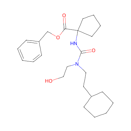 O=C(NC1(C(=O)OCc2ccccc2)CCCC1)N(CCO)CCC1CCCCC1